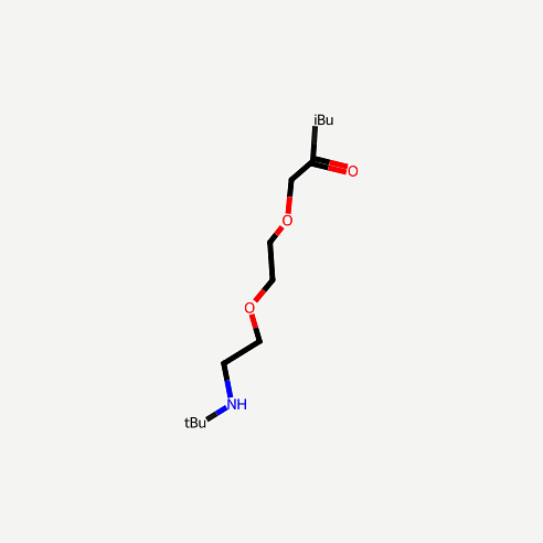 CCC(C)C(=O)COCCOCCNC(C)(C)C